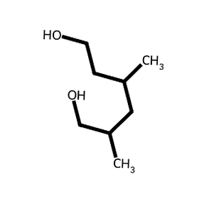 CC(CO)CC(C)CCO